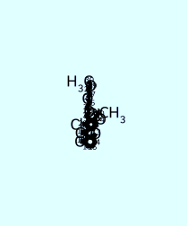 CCS(=O)(=O)c1ccc(C(=O)C2C(=O)CCCC2=O)c(Cl)c1COCCOCCOC